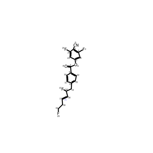 N#Cc1c(F)cc(OC(=O)c2ccc(CC(F)/C=C/CCF)cc2)cc1F